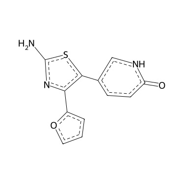 Nc1nc(-c2ccco2)c(-c2ccc(=O)[nH]c2)s1